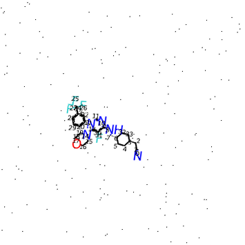 N#CC[C@H]1CC[C@H](CNc2ncnc(N3CCOC[C@@H]3c3ccc(C(F)(F)F)cc3)c2F)CC1